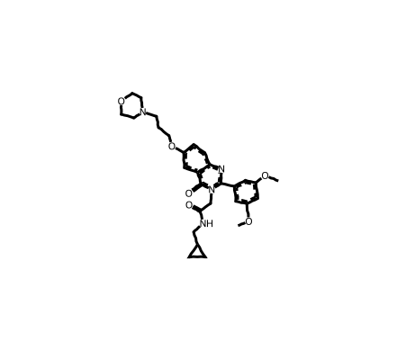 COc1cc(OC)cc(-c2nc3ccc(OCCCN4CCOCC4)cc3c(=O)n2CC(=O)NCC2CC2)c1